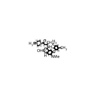 CNc1cc(NC=O)c(C(=O)NC(C)CC(=O)N2CCN(C)CC2)cc1Oc1cc(C)cc(C)c1